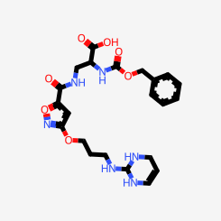 O=C(NC(CNC(=O)c1cc(OCCCNC2NC=CCN2)no1)C(=O)O)OCc1ccccc1